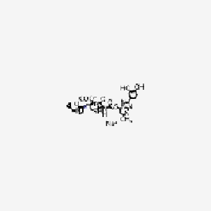 Cc1cc(SCC(=O)N[C@@H]2C(=O)N3C(C(=O)[O-])=C(/C=C4\CCN(CC5CC5)C4=O)CS[C@H]23)n2nc(-c3ccc(O)c(O)c3)nc2n1.[Na+]